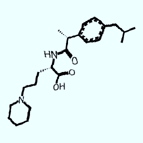 CC(C)Cc1ccc([C@@H](C)C(=O)N[C@@H](CCCN2CCCCC2)C(=O)O)cc1